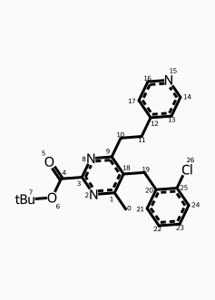 Cc1nc(C(=O)OC(C)(C)C)nc(CCc2ccncc2)c1Cc1ccccc1Cl